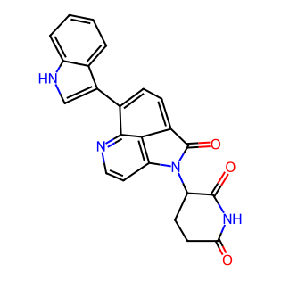 O=C1CCC(N2C(=O)c3ccc(-c4c[nH]c5ccccc45)c4nccc2c34)C(=O)N1